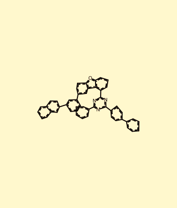 c1ccc(-c2ccc(-c3nc(-c4ccccc4)nc(-c4cccc5oc6ccc(-c7cccc(-c8ccc9ccccc9c8)c7)cc6c45)n3)cc2)cc1